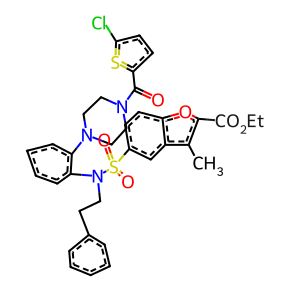 CCOC(=O)c1oc2ccc(S(=O)(=O)N(CCc3ccccc3)c3ccccc3N3CCN(C(=O)c4ccc(Cl)s4)CC3)cc2c1C